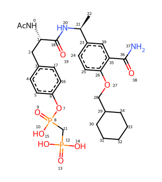 CC(=O)N[C@@H](Cc1ccc(OP(=O)(O)CP(=O)(O)O)cc1)C(=O)N[C@@H](C)c1ccc(OCC2CCCCC2)c(C(N)=O)c1